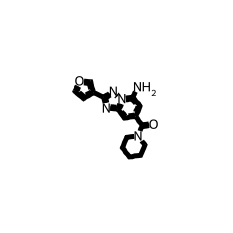 Nc1cc(C(=O)N2CCCCC2)cc2nc(-c3ccoc3)nn12